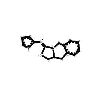 c1csc(N=C2SCC3Cc4ccccc4CN23)c1